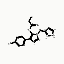 CCC(=O)Oc1c(-c2ccc(F)cc2)ncn1Cc1cc[nH]n1